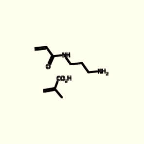 C=C(C)C(=O)O.C=CC(=O)NCCCN